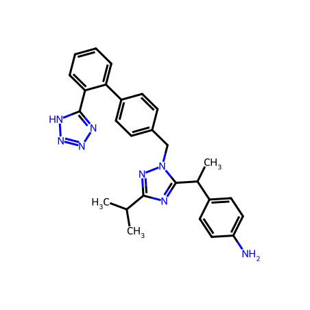 CC(C)c1nc(C(C)c2ccc(N)cc2)n(Cc2ccc(-c3ccccc3-c3nnn[nH]3)cc2)n1